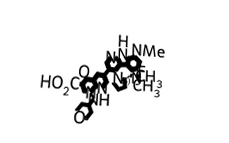 CNc1cc(F)cc2c1[nH]c1ncc(-c3cnc4c(c3)c(=O)c(C(=O)O)cn4NC3CCOCC3)c(N3CCC[C@H]3CN(C)C)c12